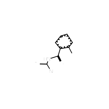 CCC(N)NC(=O)c1ccccc1F